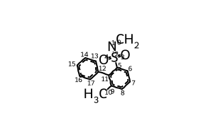 C=NS(=O)(=O)c1cccc(C)c1-c1ccccc1